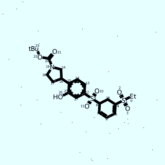 CCS(=O)(=O)C1=CC=CC(S(=O)(=O)c2ccc(C3CCN(C(=O)OC(C)(C)C)C3)c(O)c2)C1